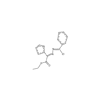 CCOC(=O)C(=NN=C(Cl)c1ccccc1)c1cccs1